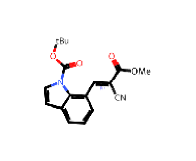 COC(=O)/C(C#N)=C/c1cccc2ccn(C(=O)OC(C)(C)C)c12